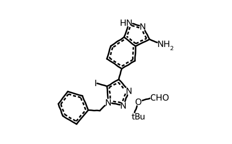 CC(C)(C)OC=O.Nc1n[nH]c2ccc(-c3nnn(Cc4ccccc4)c3I)cc12